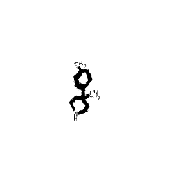 Cc1ccc(C2(C)CCNCC2)cc1